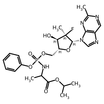 Cc1ncc2ncn([C@@H]3O[C@H](COP(=O)(NC(C)C(=O)OC(C)C)Oc4ccccc4)[C@@H](O)[C@@]3(C)F)c2n1